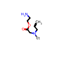 C=CCN(CC)CC(=O)OCCN